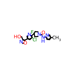 Cc1ccc(NC(=O)N2CCC(F)(c3ncc(-c4ocnc4CO)cc3Cl)CC2)nc1